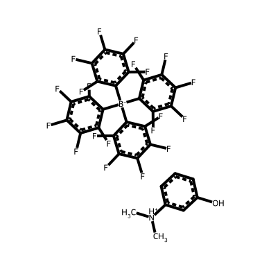 C[NH+](C)c1cccc(O)c1.Fc1c(F)c(F)c([B-](c2c(F)c(F)c(F)c(F)c2F)(c2c(F)c(F)c(F)c(F)c2F)c2c(F)c(F)c(F)c(F)c2F)c(F)c1F